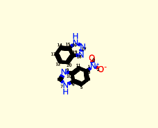 O=[N+]([O-])c1ccc2[nH]cnc2c1.c1ccc2[nH]nnc2c1